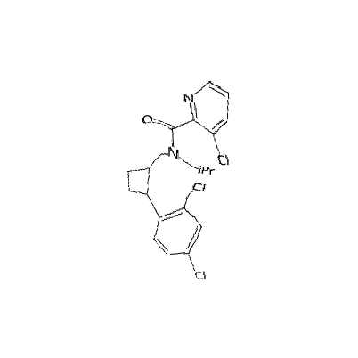 CC(C)N(C(=O)c1ncccc1Cl)C1CCC1c1ccc(Cl)cc1Cl